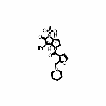 CC(C)[C@H]1C(=O)N(S(C)(=O)=O)[C@H]2CCN(C(=O)c3ccoc3CN3CCCCC3)[C@H]12